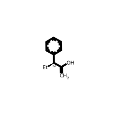 C=C(O)[C@@H](CC)c1ccccc1